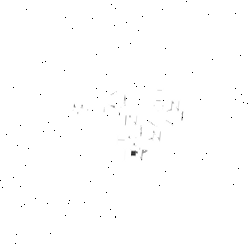 CCOc1ncccc1-c1cc(NCc2cccc(OC)n2)c(NC(C)C)c(C(C)=N)n1